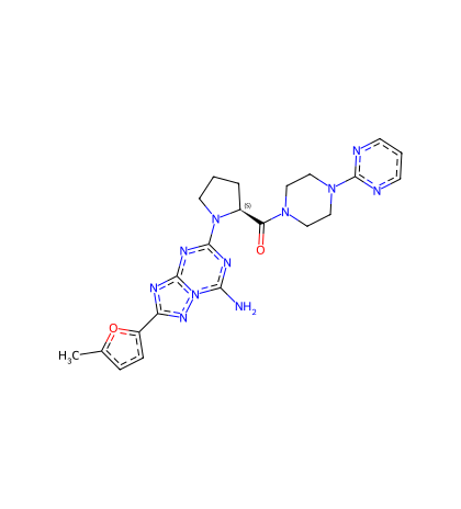 Cc1ccc(-c2nc3nc(N4CCC[C@H]4C(=O)N4CCN(c5ncccn5)CC4)nc(N)n3n2)o1